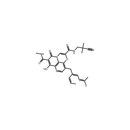 C\C=C/C(=C\C=C(/C)F)Cc1cnc2c(O)c(C(=O)NC)c(=O)n3c2c1OC(C(=O)NCC(C)(C)C#N)=C3